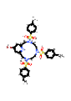 Cc1ccc(S(=O)(=O)N2CCN(S(=O)(=O)c3ccc(C)cc3)Cc3cc(Br)cc(n3)CN(S(=O)(=O)c3ccc(C)cc3)CC2)cc1